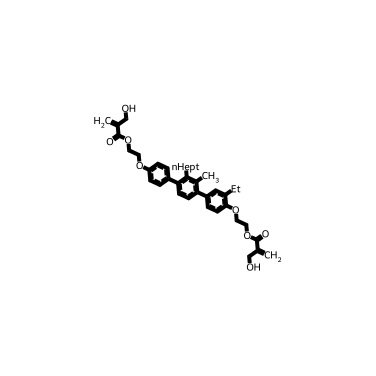 C=C(CO)C(=O)OCCOc1ccc(-c2ccc(-c3ccc(OCCOC(=O)C(=C)CO)c(CC)c3)c(C)c2CCCCCCC)cc1